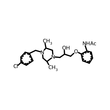 CC(=O)Nc1ccccc1OCC(O)CN1CC(C)N(Cc2ccc(Cl)cc2)CC1C